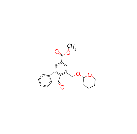 COC(=O)c1cc(COC2CCCCO2)c2c(c1)-c1ccccc1C2=O